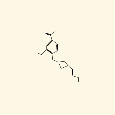 CC/C=C/C1CN(Cc2ccc(C(C)=N)cc2CC)C1